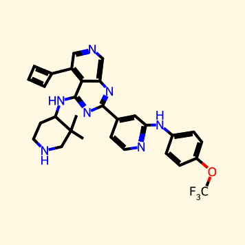 CC1(C)CNCCC1Nc1nc(-c2ccnc(Nc3ccc(OC(F)(F)F)cc3)c2)nc2cncc(C3=CC=C3)c12